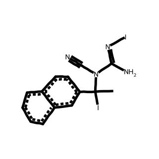 CC(I)(c1ccc2ccccc2c1)N(C#N)C(N)=NI